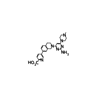 CN1CCN(c2cc(N3CCc4ccc(-c5ccc(C(=O)O)nc5)cc4C3)nc(N)n2)CC1